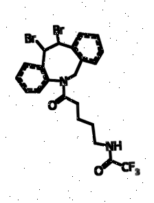 O=C(CCCCNC(=O)C(F)(F)F)N1Cc2ccccc2C(Br)C(Br)c2ccccc21